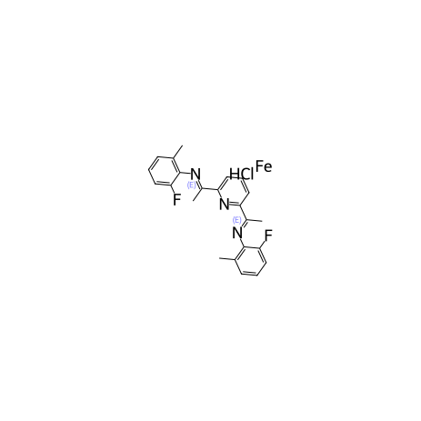 C/C(=N\c1c(C)cccc1F)c1cccc(/C(C)=N/c2c(C)cccc2F)n1.Cl.[Fe]